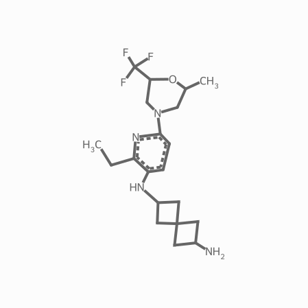 CCc1nc(N2CC(C)OC(C(F)(F)F)C2)ccc1NC1CC2(CC(N)C2)C1